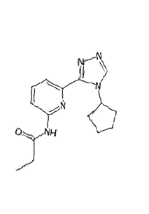 CCC(=O)Nc1cccc(-c2nncn2C2CCCC2)n1